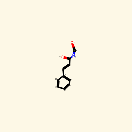 O=C=NC(=O)/C=C/c1ccccc1